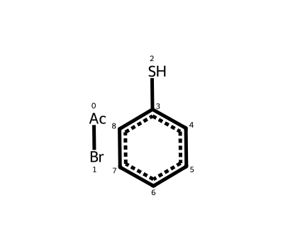 CC(=O)Br.Sc1ccccc1